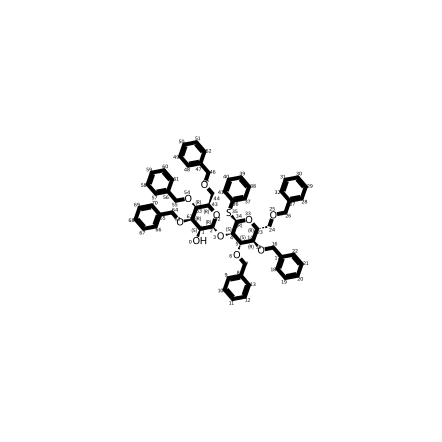 O[C@@H]1[C@@H](O[C@H]2[C@@H](OCc3ccccc3)[C@H](OCc3ccccc3)[C@@H](COCc3ccccc3)O[C@@H]2Sc2ccccc2)O[C@H](COCc2ccccc2)[C@@H](OCc2ccccc2)[C@@H]1OCc1ccccc1